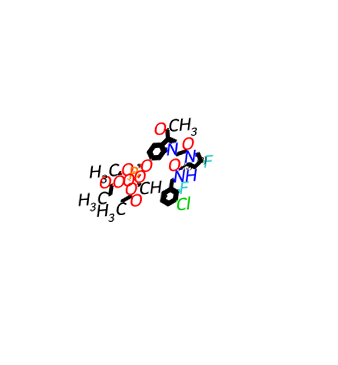 CCC(=O)OC(C)OP(=O)(COc1ccc2c(C(C)=O)cn(CC(=O)N3C[C@H](F)C[C@H]3C(=O)NCc3cccc(Cl)c3F)c2c1)OC(C)OC(=O)CC